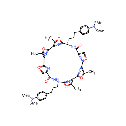 CSN(SC)c1ccc(CCCC2NC(=O)c3coc(n3)-c3nc(oc3C)-c3nc(oc3C)[C@H](CCCc3ccc(N(SC)SC)cc3)NC(=O)c3coc(n3)-c3nc(oc3C)-c3nc2oc3C)cc1